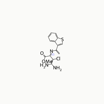 C=C(/N=C(/C(=O)OC)C(Cl)=C(N)N)c1csc2ccccc12